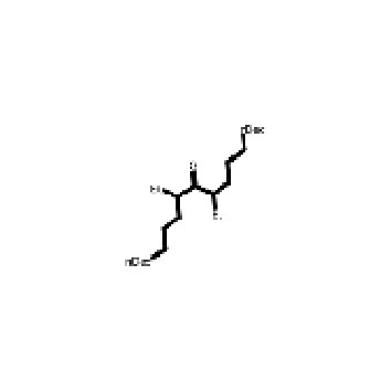 CCCCCCCCCCCCCC(CC)C(=O)C(CC)CCCCCCCCCCCCC